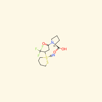 N#CS1(C(CC(=O)N2CCC[C@H]2C(=O)O)C(F)(F)F)CCCCS1